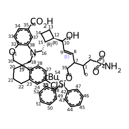 CC(CS(N)(=O)=O)C(/C=C/C(O)[C@@H]1CC[C@H]1CN1C[C@@]2(CCCc3cc(Cl)ccc32)COc2ccc(C(=O)O)cc21)CO[Si](c1ccccc1)(c1ccccc1)C(C)(C)C